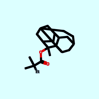 CCC(C)(C)C(=O)OC1(C)C2CC3CC4(CCC5CC3C1C4C5)C2